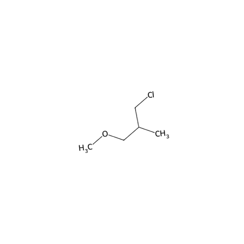 COCC(C)CCl